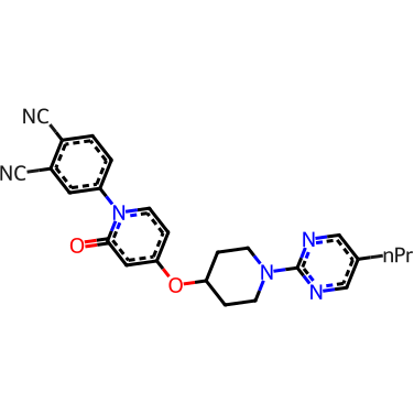 CCCc1cnc(N2CCC(Oc3ccn(-c4ccc(C#N)c(C#N)c4)c(=O)c3)CC2)nc1